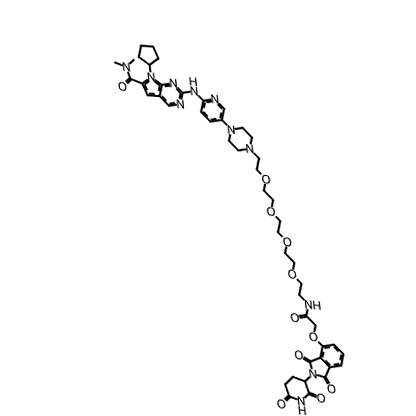 CN(C)C(=O)c1cc2cnc(Nc3ccc(N4CCN(CCOCCOCCOCCOCCNC(=O)COc5cccc6c5C(=O)N(C5CCC(=O)NC5=O)C6=O)CC4)cn3)nc2n1C1CCCC1